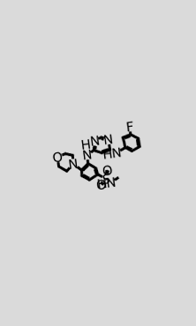 CNS(=O)(=O)c1ccc(N2CCOCC2)c(Nc2cc(Nc3cccc(F)c3)ncn2)c1